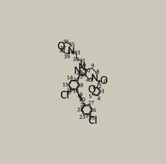 O=C(c1ccco1)N1CCc2c(c(-c3ccc(Cl)c(C#Cc4ccc(Cl)cc4)c3)nn2CCCN2CCOCC2)C1